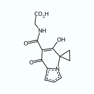 O=C(O)CNC(=O)C1=C(O)C2(CC2)n2cccc2C1=O